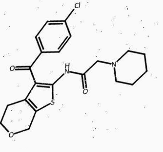 O=C(CN1CCCCC1)Nc1sc2c(c1C(=O)c1ccc(Cl)cc1)CCOC2